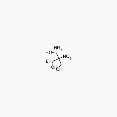 B.N.O=[N+]([O-])C(CO)(CO)CO